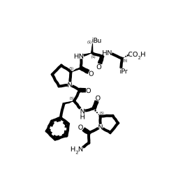 CC[C@H](C)[C@H](NC(=O)[C@@H]1CCCN1C(=O)[C@H](Cc1ccccc1)NC(=O)[C@@H]1CCCN1C(=O)CN)C(=O)N[C@H](C(=O)O)C(C)C